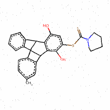 Cc1ccc2c(c1)C1c3c(O)c(SC(=S)N4CCCC4)cc(O)c3C3c4ccccc4C231